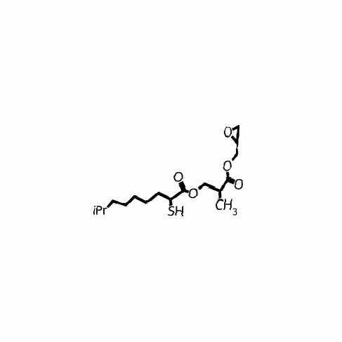 CC(C)CCCCCC(S)C(=O)OCC(C)C(=O)OC[C@@H]1CO1